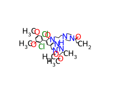 C=CC(=O)N1CCN(CCCn2c(=O)c(-c3c(Cl)c(OC)cc(OC)c3Cl)cc3cnc(NC(C)C(OC)OC)nc32)CC1